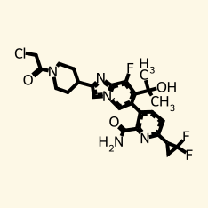 CC(C)(O)c1c(-c2ccc(C3CC3(F)F)nc2C(N)=O)cn2cc(C3CCN(C(=O)CCl)CC3)nc2c1F